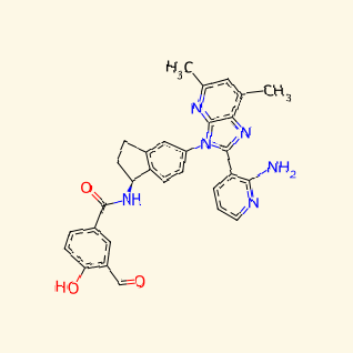 Cc1cc(C)c2nc(-c3cccnc3N)n(-c3ccc4c(c3)CC[C@@H]4NC(=O)c3ccc(O)c(C=O)c3)c2n1